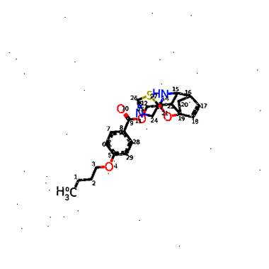 CCCCOc1ccc(C(=O)OCC2NC3C4C=CC(C4)(O2)C3C2CN=CS2)cc1